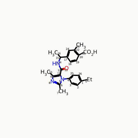 CCc1ccc(-n2c(C)nc(C)c2C(=O)NC(C)c2ccc(C(=O)O)c(C)c2)cc1